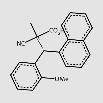 COc1ccccc1[C@@H](c1cccc2ccccc12)C(C)(C#N)C(=O)O